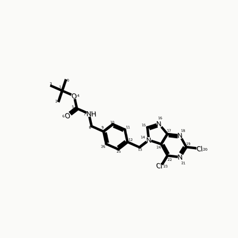 CC(C)(C)OC(=O)NCc1ccc(Cn2cnc3nc(Cl)nc(Cl)c32)cc1